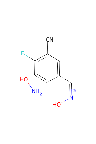 N#Cc1cc(/C=N\O)ccc1F.NO